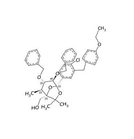 CCOc1ccc(Cc2cc([C@]34OC(C)(C)[C@](CO)(O3)[C@@H](C)[C@H](OCc3ccccc3)[C@H]4OCc3ccccc3)ccc2Cl)cc1